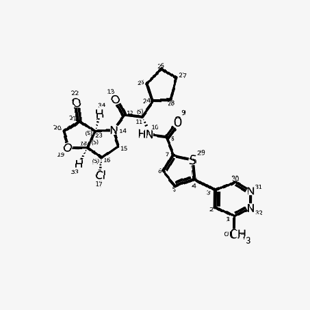 Cc1cc(-c2ccc(C(=O)N[C@H](C(=O)N3C[C@H](Cl)[C@H]4OCC(=O)[C@H]43)C3CCCC3)s2)cnn1